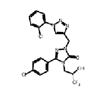 O=c1n(Cc2cn(-c3ccccc3Cl)nn2)nc(-c2ccc(Cl)cc2)n1C[C@H](O)C(F)(F)F